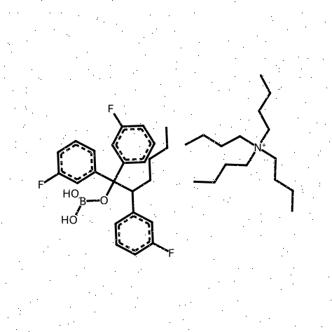 CCCCC(c1cccc(F)c1)C(OB(O)O)(c1cccc(F)c1)c1cccc(F)c1.CCCC[N+](CCCC)(CCCC)CCCC